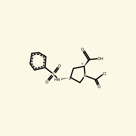 O=C(O)[C@@H]1C[C@@H](NS(=O)(=O)c2ccccc2)CN1C(=O)Cl